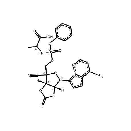 C[C@H](N[P@](=O)(OC[C@@]1(C#N)O[C@@H](c2ccc3c(N)ncnn23)[C@@H]2OC(=O)O[C@@H]21)Oc1ccccc1)C(=O)O